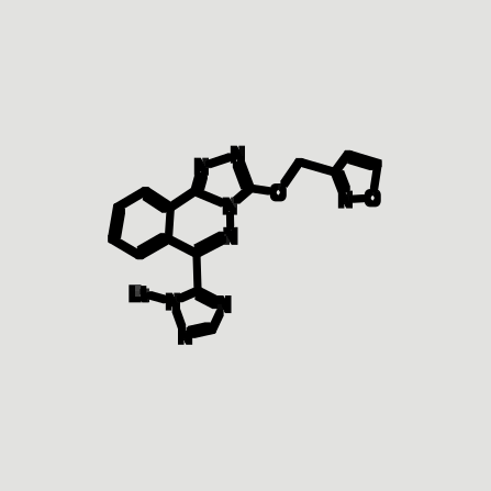 CCn1ncnc1-c1nn2c(OCc3ccon3)nnc2c2ccccc12